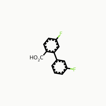 O=C(O)c1ccc(F)cc1-c1cccc(F)c1